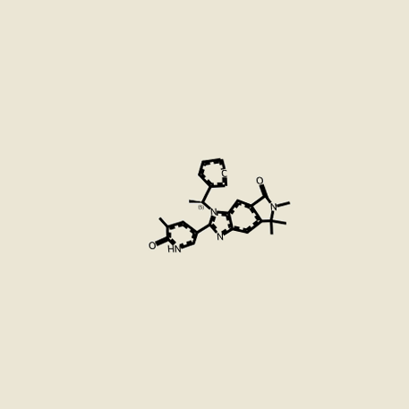 Cc1cc(-c2nc3cc4c(cc3n2[C@@H](C)c2ccccc2)C(=O)N(C)C4(C)C)c[nH]c1=O